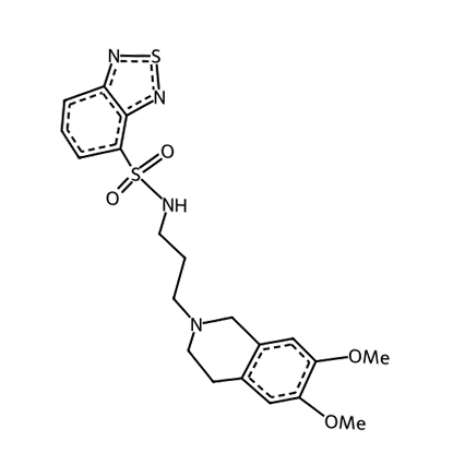 COc1cc2c(cc1OC)CN(CCCNS(=O)(=O)c1cccc3nsnc13)CC2